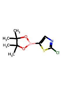 CC1(C)OB(c2cnc(Cl)s2)OC1(C)C